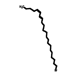 CCCC/C=C\C=C\CCCCCCCCCCCCCCBr